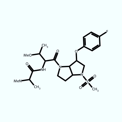 CNC(C)C(=O)NC(C(=O)N1CCC2C1C(Oc1ccc(F)cc1)CN2S(C)(=O)=O)C(C)OC